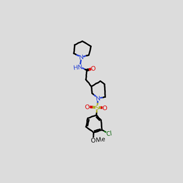 COc1ccc(S(=O)(=O)N2CCCC(CC(=O)NN3CCCCC3)C2)cc1Cl